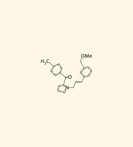 COCc1cccc(C=CCn2cccc2C(=O)c2ccc(C)cc2)c1